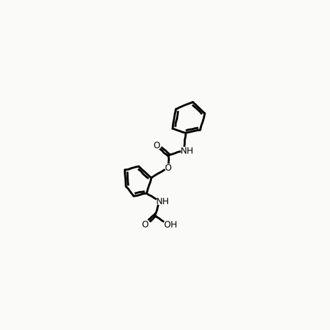 O=C(O)Nc1ccccc1OC(=O)Nc1ccccc1